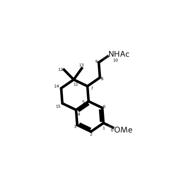 COc1ccc2c(c1)C(CCNC(C)=O)C(C)(C)CC2